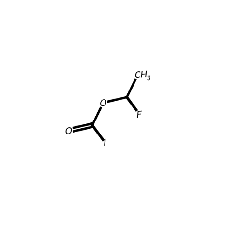 CC(F)OC(=O)I